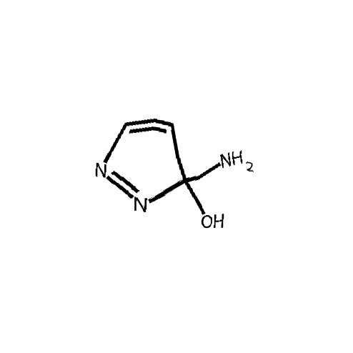 NC1(O)C=CN=N1